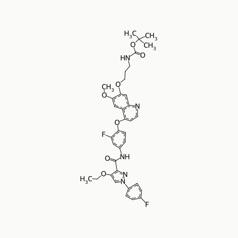 CCOc1cn(-c2ccc(F)cc2)nc1C(=O)Nc1ccc(Oc2ccnc3cc(OCCCNC(=O)OC(C)(C)C)c(OC)cc23)c(F)c1